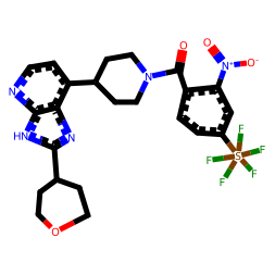 O=C(c1ccc(S(F)(F)(F)(F)F)cc1[N+](=O)[O-])N1CCC(c2ccnc3[nH]c(C4CCOCC4)nc23)CC1